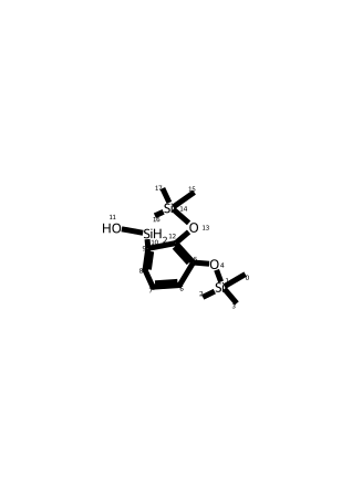 C[Si](C)(C)Oc1cccc([SiH2]O)c1O[Si](C)(C)C